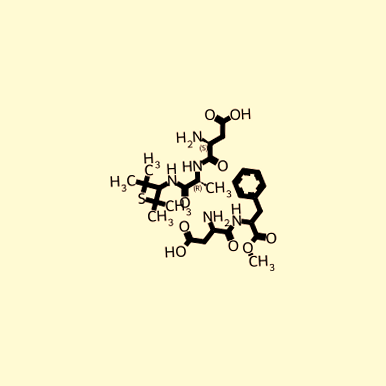 COC(=O)C(Cc1ccccc1)NC(=O)C(N)CC(=O)O.C[C@@H](NC(=O)[C@@H](N)CC(=O)O)C(=O)NC1C(C)(C)SC1(C)C